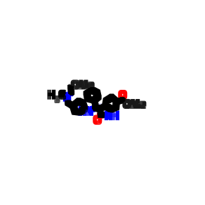 COCCN(C)Cc1ccc(N/C(=C2\C(=O)Nc3cc(C(=O)OC)ccc32)c2ccccc2)cc1